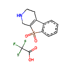 O=C(O)C(F)(F)F.O=S1(=O)C2=C(CCNC2)c2ccccc21